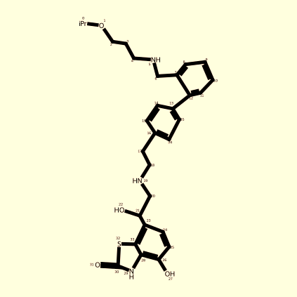 CC(C)OCCCNCc1ccccc1-c1ccc(CCNCC(O)c2ccc(O)c3[nH]c(=O)sc23)cc1